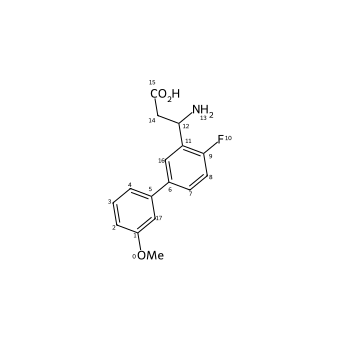 COc1cccc(-c2ccc(F)c(C(N)CC(=O)O)c2)c1